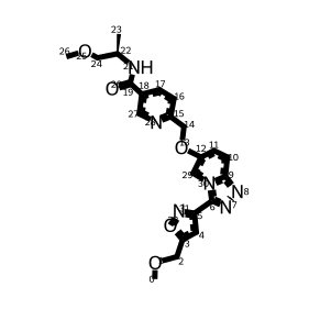 COCc1cc(-c2nnc3ccc(OCc4ccc(C(=O)N[C@H](C)COC)cn4)cn23)no1